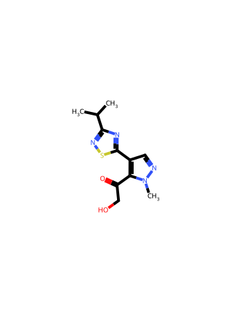 CC(C)c1nsc(-c2cnn(C)c2C(=O)CO)n1